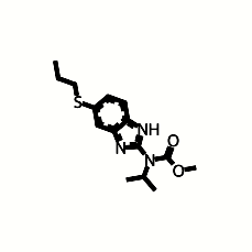 CCCSc1ccc2[nH]c(N(C(=O)OC)C(C)C)nc2c1